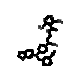 Cc1ncnc(C)c1C(=O)NCCC(C)N1CCC(N(Cc2cccc(C#N)c2)c2ccc3c(c2)OCO3)CC1